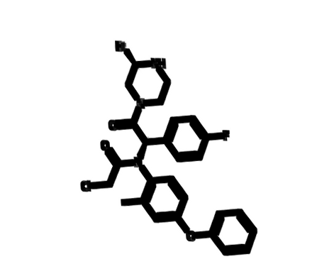 CC[C@@H]1CN(C(=O)[C@@H](c2ccc(F)cc2)N(C(=O)CCl)c2ccc(Oc3ccccc3)cc2C)CCN1